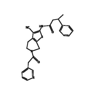 CC(CC(=O)Nc1sc2c(c1C#N)CCN(C(=O)Cc1cccnc1)C2)c1ccccc1